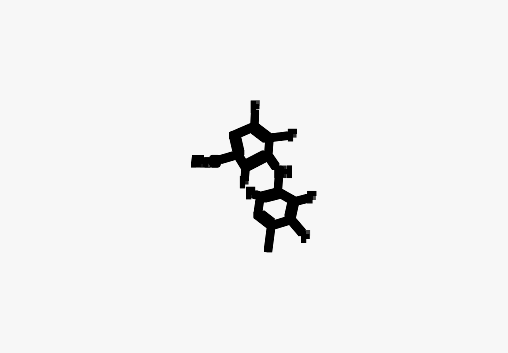 COc1cc(F)c(F)c(Bc2c(F)cc(C)c(F)c2F)c1F